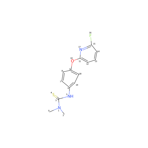 CN(C)C(=S)Nc1ccc(Oc2cccc(F)n2)cc1